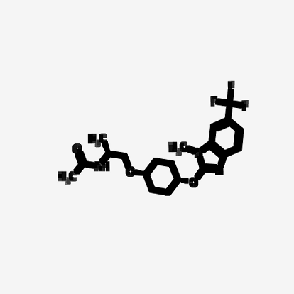 CC(=O)N[C@@H](C)CO[C@H]1CC[C@H](Oc2nc3ccc(C(F)(F)F)cc3n2C)CC1